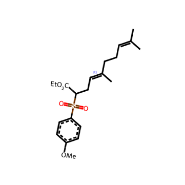 CCOC(=O)C(C/C=C(\C)CCC=C(C)C)S(=O)(=O)c1ccc(OC)cc1